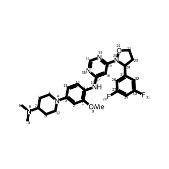 COc1cc(N2CCC(N(C)C)CC2)ccc1Nc1cc(N2OCCC2c2cc(F)cc(F)c2)ncn1